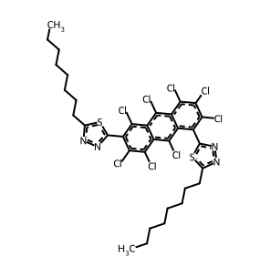 CCCCCCCCc1nnc(-c2c(Cl)c(Cl)c3c(Cl)c4c(-c5nnc(CCCCCCCC)s5)c(Cl)c(Cl)c(Cl)c4c(Cl)c3c2Cl)s1